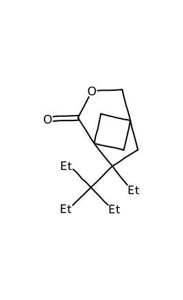 CCC(CC)(CC)C1(CC)CC23COC(=O)C1(C2)C3